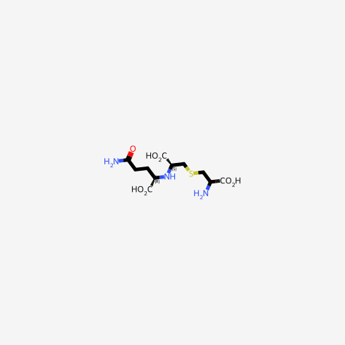 NC(=O)CC[C@@H](N[C@H](CSCC(N)C(=O)O)C(=O)O)C(=O)O